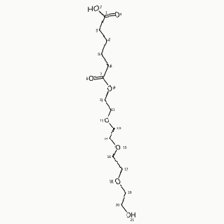 O=C(O)CCCCC(=O)OCCOCCOCCOCCO